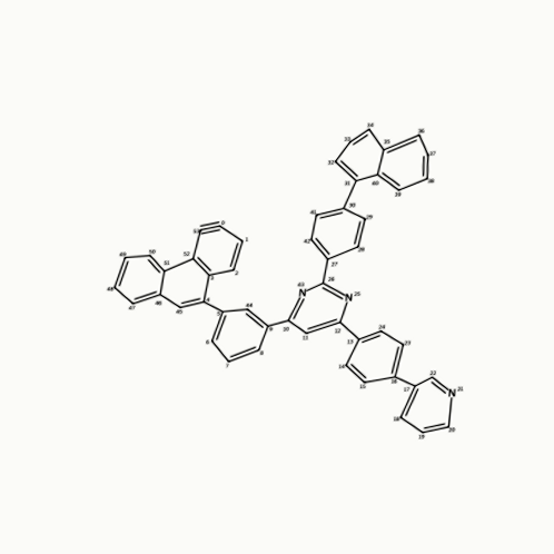 c1ccc2c(-c3cccc(-c4cc(-c5ccc(-c6cccnc6)cc5)nc(-c5ccc(-c6cccc7ccccc67)cc5)n4)c3)cc3ccccc3c2c#1